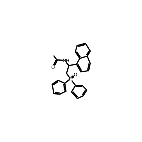 CC(=O)NC(CP(=O)(c1ccccc1)c1ccccc1)c1cccc2ccccc12